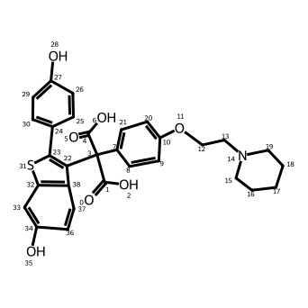 O=C(O)C(C(=O)O)(c1ccc(OCCN2CCCCC2)cc1)c1c(-c2ccc(O)cc2)sc2cc(O)ccc12